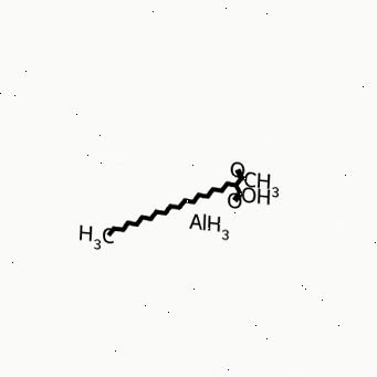 CCCCCCCCCCCCCCCCCCC(C(C)=O)C(=O)O.[AlH3]